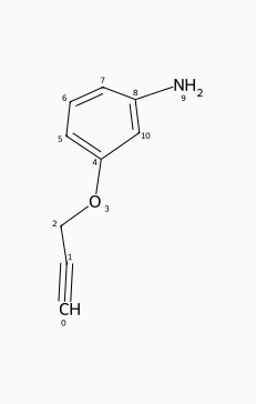 C#CCOc1cccc(N)c1